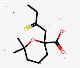 CCC(=S)CC1(C(=O)O)CCCC(C)(C)O1